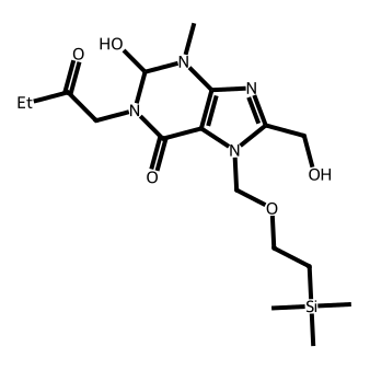 CCC(=O)CN1C(=O)c2c(nc(CO)n2COCC[Si](C)(C)C)N(C)C1O